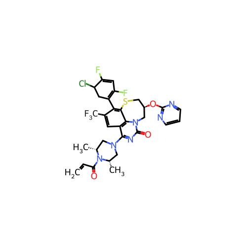 C=CC(=O)N1[C@H](C)CN(c2nc(=O)n3c4c(c(C5=C(F)C=C(F)C(Cl)C5)c(C(F)(F)F)cc24)SC[C@@H](Oc2ncccn2)C3)C[C@@H]1C